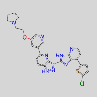 Clc1ccc(-c2ccnc3[nH]c(-c4n[nH]c5ccc(-c6cncc(OCCN7CCCC7)c6)nc45)nc23)s1